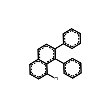 Clc1cccc2ccc(-c3[c]cccc3)c(-c3ccccc3)c12